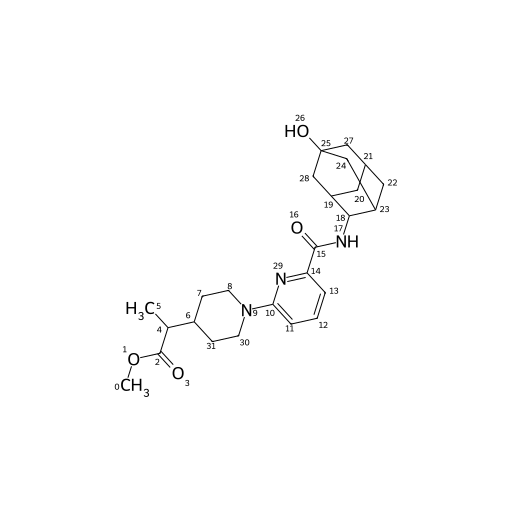 COC(=O)C(C)C1CCN(c2cccc(C(=O)NC3C4CC5CC3CC(O)(C5)C4)n2)CC1